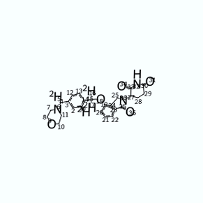 [2H]c1cc(C([2H])N2CCOCC2)ccc1C([2H])([2H])Oc1cccc2c1CN(C1CCC(=O)NC1=O)C2=O